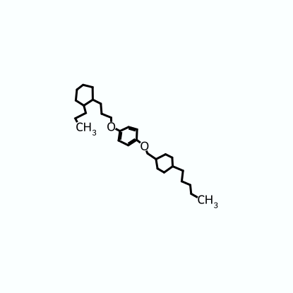 CCCCCC1CCC(COc2ccc(OCCCC3CCCCC3CCC)cc2)CC1